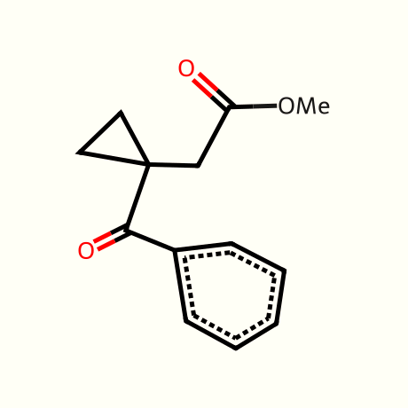 COC(=O)CC1(C(=O)c2ccccc2)CC1